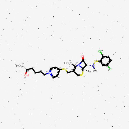 CC(=O)N(Sc1cc(Cl)ccc1Cl)[C@H]1C(=O)N2C(C(=O)O)=C(CSc3cc[n+](CCCC[C@H](O)C(=O)O)cc3)CS[C@H]12